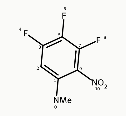 CNc1cc(F)c(F)c(F)c1[N+](=O)[O-]